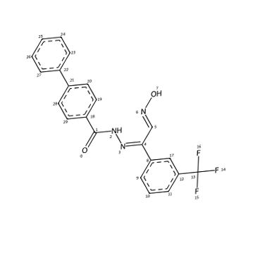 O=C(NN=C(C=NO)c1cccc(C(F)(F)F)c1)c1ccc(-c2ccccc2)cc1